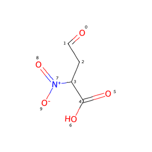 O=CCC(C(=O)O)[N+](=O)[O-]